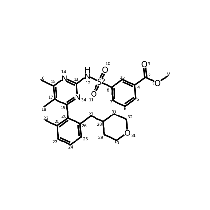 COC(=O)c1cccc(S(=O)(=O)Nc2nc(C)c(C)c(-c3c(C)cccc3CC3CCOCC3)n2)c1